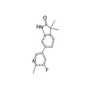 Cc1ncc(-c2ccc3c(c2)NC(=O)C3(C)C)cc1F